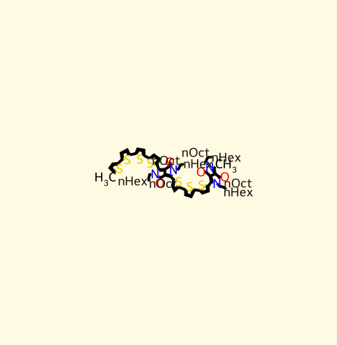 CCCCCCCCC(CCCCCC)CN1C(=O)C2=C(c3ccc(-c4ccc(-c5ccc(C6=C7C(=O)N(CC(CCCCCC)CCCCCCCC)C(c8ccc(-c9ccc(-c%10ccc(-c%11ccc(C)s%11)s%10)s9)s8)=C7C(=O)N6CC(CCCCCC)CCCCCCCC)s5)s4)s3)N(CC(CCCCCC)CCCCCCCC)C(=O)C2=C1C